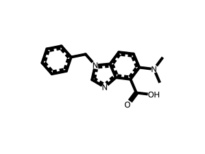 CN(C)c1ccc2c(ncn2Cc2ccccc2)c1C(=O)O